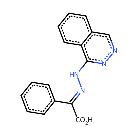 O=C(O)/C(=N/Nc1nncc2ccccc12)c1ccccc1